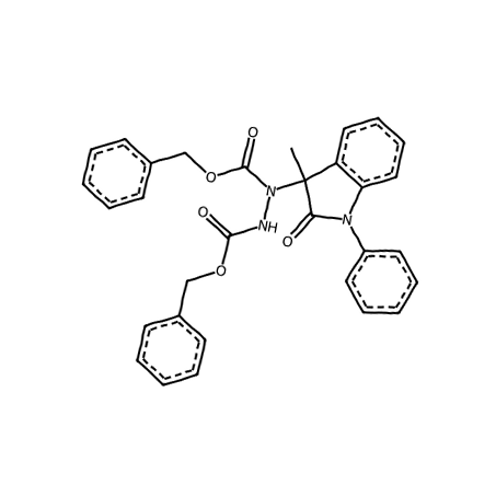 CC1(N(NC(=O)OCc2ccccc2)C(=O)OCc2ccccc2)C(=O)N(c2ccccc2)c2ccccc21